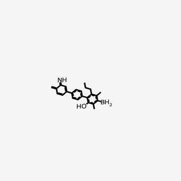 Bc1c(C)c(O)c(-c2ccc(C3=CC(=N)C(=C)C=C3)cc2)c(CCC)c1C